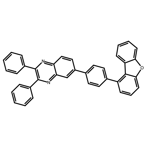 c1ccc(-c2nc3ccc(-c4ccc(-c5cccc6oc7ccccc7c56)cc4)cc3nc2-c2ccccc2)cc1